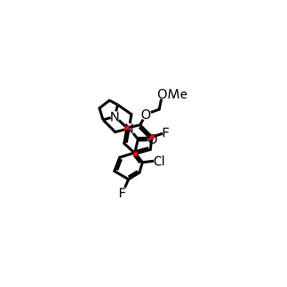 COCOc1c(F)cccc1N1C2CCC1CN(C(=O)c1ccc(F)cc1Cl)C2